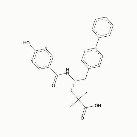 CC(C)(C[C@@H](Cc1ccc(-c2ccccc2)cc1)NC(=O)c1cnc(O)nc1)C(=O)O